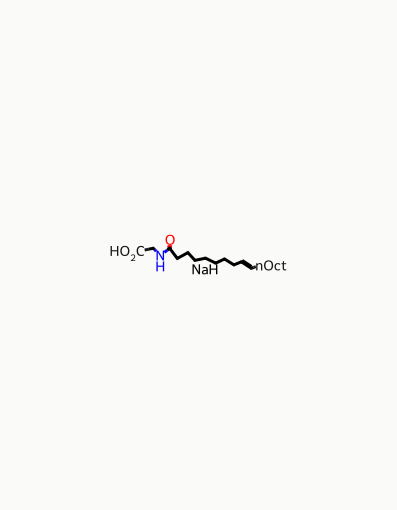 CCCCCCCC/C=C/CCCCCCCC(=O)NCC(=O)O.[NaH]